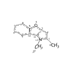 Cc1cc2oc3ccccc3c2n1C